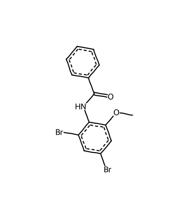 COc1cc(Br)cc(Br)c1NC(=O)c1ccccc1